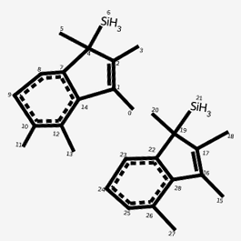 CC1=C(C)C(C)([SiH3])c2ccc(C)c(C)c21.CC1=C(C)C(C)([SiH3])c2cccc(C)c21